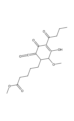 CCCC(=O)C1=C(O)C(OC)C(CCCCC(=O)OC)C(=C=O)C1=O